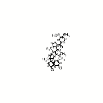 CC(C)C1=C(C(=O)N2[C@H](C)CC[C@H]2C(=O)N2CCN(C)[C@@H](CO)C2)SC2=N[C@@](C)(c3ccc(Cl)cc3)[C@@H](c3ccc(Cl)cc3)N21